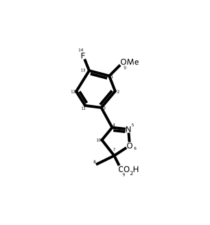 COc1cc(C2=NOC(C)(C(=O)O)C2)ccc1F